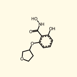 O=C(NO)c1c(O)cccc1OC1CCOC1